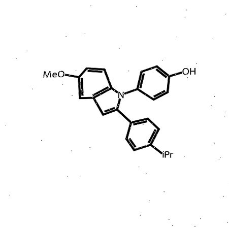 COc1ccc2c(c1)cc(-c1ccc(C(C)C)cc1)n2-c1ccc(O)cc1